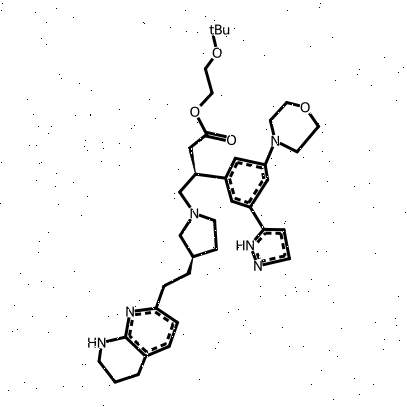 CC(C)(C)OCCOC(=O)C[C@H](CN1CC[C@@H](CCc2ccc3c(n2)NCCC3)C1)c1cc(-c2ccn[nH]2)cc(N2CCOCC2)c1